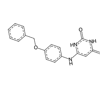 O=c1cc(Nc2ccc(OCc3ccccc3)cc2)[nH]c(=O)[nH]1